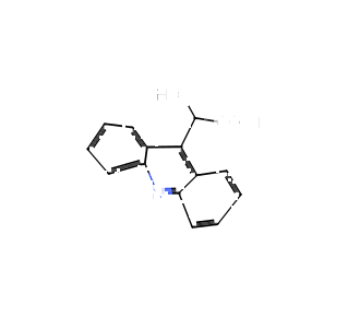 CC(C(=O)O)c1c2ccccc2nc2ccccc12